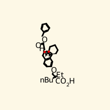 CCCCC(CC)(COc1ccc2c(c1)[C@@]13CCCC[C@H]1[C@@H](C2)N(C(=O)OCc1ccccc1)CC3)C(=O)O